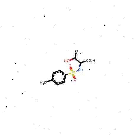 Cc1ccc(S(=O)(=O)NC(C(=O)O)C(C)O)cc1